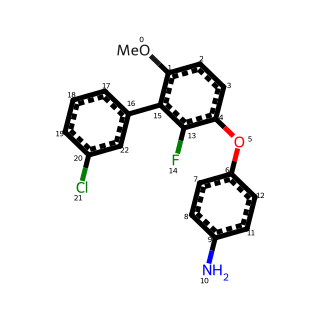 COc1ccc(Oc2ccc(N)cc2)c(F)c1-c1cccc(Cl)c1